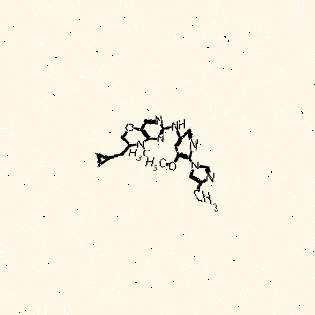 COc1cc(Nc2ncc3c(n2)N(C)C(CC2CC2)CO3)cnc1-n1cnc(C)c1